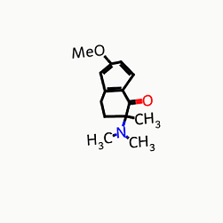 COc1ccc2c(c1)CCC(C)(N(C)C)C2=O